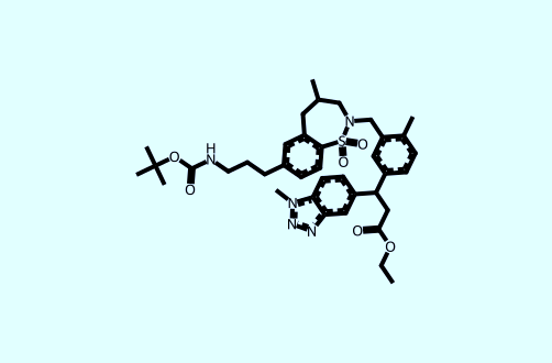 CCOC(=O)CC(c1ccc(C)c(CN2CC(C)Cc3cc(CCCNC(=O)OC(C)(C)C)ccc3S2(=O)=O)c1)c1ccc2c(c1)nnn2C